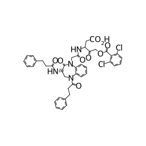 O=C(O)CC(NC(=O)CN1C(=O)[C@@H](NC(=O)CCc2ccccc2)CN(C(=O)CCc2ccccc2)c2ccccc21)C(=O)COC(=O)c1c(Cl)cccc1Cl